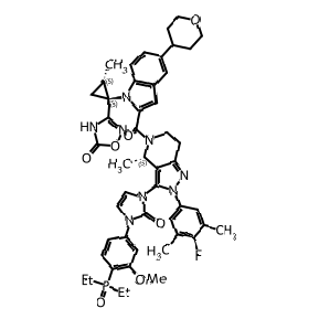 CCP(=O)(CC)c1ccc(-n2ccn(-c3c4c(nn3-c3cc(C)c(F)c(C)c3)CCN(C(=O)c3cc5cc(C6CCOCC6)ccc5n3[C@@]3(c5noc(=O)[nH]5)C[C@@H]3C)[C@H]4C)c2=O)cc1OC